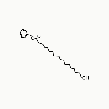 O=C(CCCCCCCCCCCCCCCCCO)OCc1ccccc1